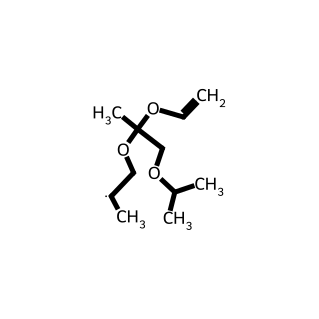 C=COC(C)(COC(C)C)OC[CH]C